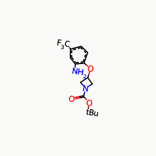 CC(C)(C)OC(=O)N1CC(Oc2ccc(C(F)(F)F)cc2N)C1